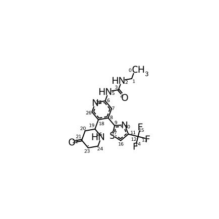 CCNC(=O)Nc1cc(-c2nc(C(F)(F)F)cs2)c(C2CC(=O)[CH]CN2)cn1